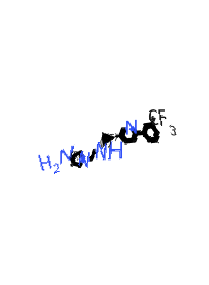 N[C@@H]1CCN(CCN[C@@H]2C[C@H]2c2ccc(-c3cccc(C(F)(F)F)c3)nc2)C1